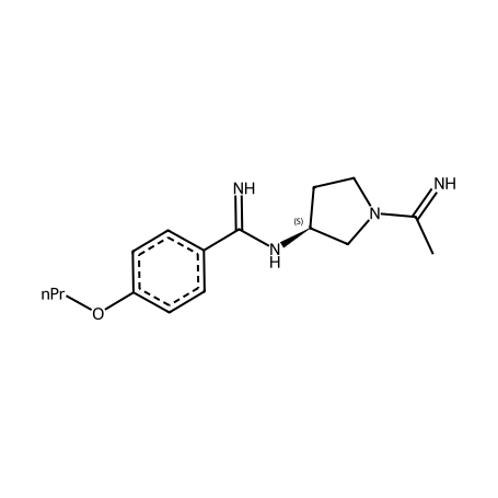 CCCOc1ccc(C(=N)N[C@H]2CCN(C(C)=N)C2)cc1